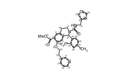 COC(=O)c1cc2c(cc1OCCc1cccnc1)C(c1ccc(C)cc1C)N(C(=O)NCc1cocn1)CC2